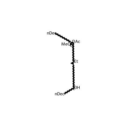 CCCCCCCCCCCCCCCCCCCCCCCC[C@@H](C(=O)OC)[C@@H](CCCCCCCCCCCCCCC(CC)[C@@H]1C[C@@H]1CCCCCCCCCCCCCCCCCC[C@H](O)[C@@H](C)CCCCCCCCCCCCCCCCCC)OC(C)=O